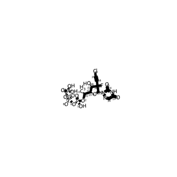 C[C@H](OP(=O)(O)OP(=O)(O)OP(=O)(O)O)[C@H]1O[C@@H](n2ncc(=O)[nH]c2=O)C(F)(C#CCl)[C@H]1O